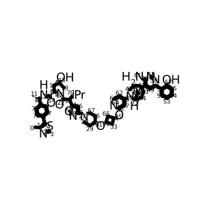 Cc1ncsc1-c1ccc([C@H](C)NC(=O)[C@@H]2C[C@@H](O)CN2C(=O)C(c2cc(N3CCC(O[C@H]4C[C@H](Oc5cc(N6CC7CCC[C@H]6CN7c6cc(-c7ccccc7O)nnc6N)ccn5)C4)CC3)no2)C(C)C)cc1